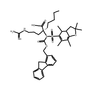 CCCCC[C@](CCCNC(=N)N)(C(=O)O)N(C(=O)OCc1cccc2c1Cc1ccccc1-2)S(=O)(=O)C1=C(C)C(C)=C2OC(C)(C)CC2C1C